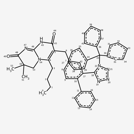 CCCCC1=C(Cc2ccc(-c3ccccc3)c(-c3nnnn3C(c3ccccc3)(c3ccccc3)c3ccccc3)c2)C(=O)NC2=NC(=O)C(C)(C)CN21